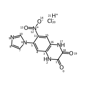 O=c1[nH]c2cc(-n3ccnc3)c([N+](=O)[O-])cc2[nH]c1=O.[Cl-].[H+]